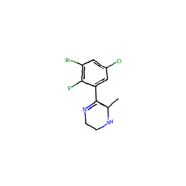 CC1NCCN=C1c1cc(Cl)cc(Br)c1F